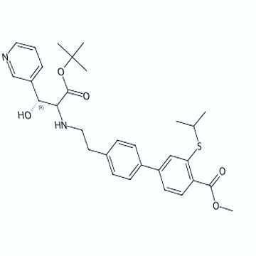 COC(=O)c1ccc(-c2ccc(CCNC(C(=O)OC(C)(C)C)[C@H](O)c3cccnc3)cc2)cc1SC(C)C